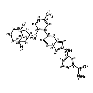 CNC(=O)c1ccnc(Nc2cc3cc(-c4cc(C)ncc4O[C@H]4C[C@H]5COC[C@@H](C4)N5)ccn3n2)c1